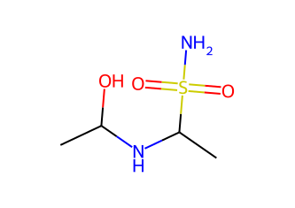 CC(O)NC(C)S(N)(=O)=O